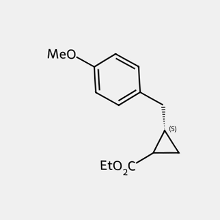 CCOC(=O)C1C[C@H]1Cc1ccc(OC)cc1